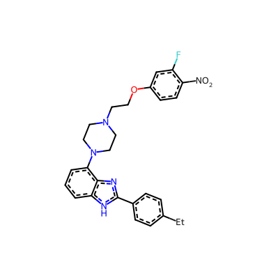 CCc1ccc(-c2nc3c(N4CCN(CCOc5ccc([N+](=O)[O-])c(F)c5)CC4)cccc3[nH]2)cc1